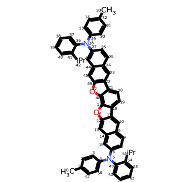 Cc1ccc(N(c2ccc3cc4c(cc3c2)oc2c4ccc3c4cc5ccc(N(c6ccc(C)cc6)c6ccccc6C(C)C)cc5cc4oc32)c2ccccc2C(C)C)cc1